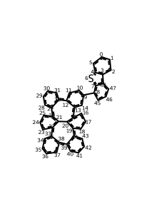 c1ccc2c(c1)sc1c(-c3ccc4c(c3)c3cccc5c3-c3c(cccc3c3ccccc34)c3ccccc3c3ccccc53)cccc12